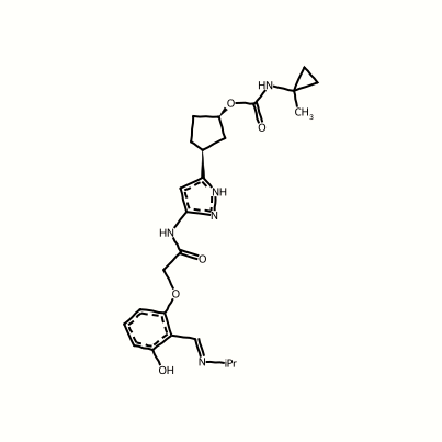 CC(C)/N=C/c1c(O)cccc1OCC(=O)Nc1cc([C@H]2CC[C@@H](OC(=O)NC3(C)CC3)C2)[nH]n1